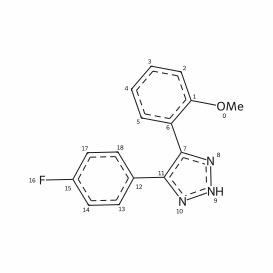 COc1ccccc1-c1n[nH]nc1-c1ccc(F)cc1